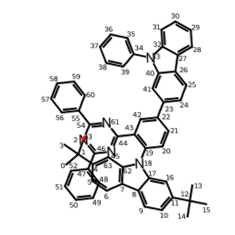 CC(C)(C)c1ccc2c3ccc(C(C)(C)C)cc3n(-c3ccc(-c4ccc5c6ccccc6n(-c6ccccc6)c5c4)cc3-c3nc(-c4ccccc4)nc(-c4ccccc4)n3)c2c1